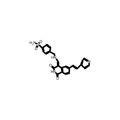 NS(=O)(=O)c1ccc(CN/C=C2\C(=O)NC(=O)c3ccc(/C=C/c4ccncc4)cc32)cc1